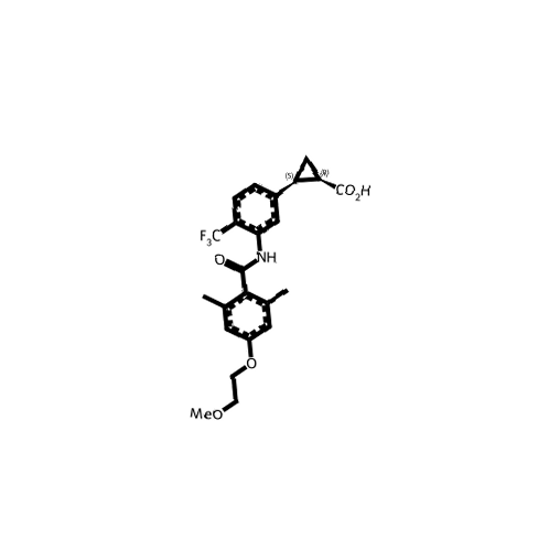 COCCOc1cc(C)c(C(=O)Nc2cc([C@H]3C[C@H]3C(=O)O)ccc2C(F)(F)F)c(C)c1